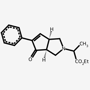 CCOC(=O)C(C)N1C[C@@H]2C=C(c3ccccc3)C(=O)[C@@H]2C1